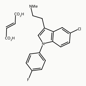 CNCCc1cn(-c2ccc(F)cc2)c2ccc(Cl)cc12.O=C(O)C=CC(=O)O